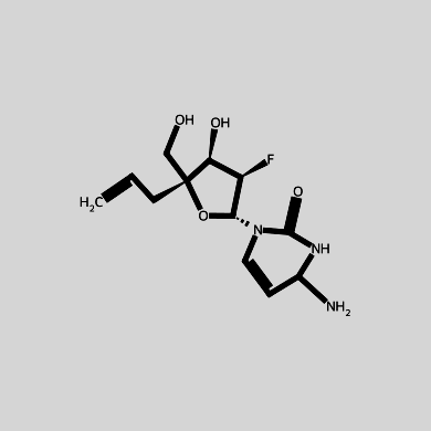 C=CC[C@]1(CO)O[C@@H](N2C=CC(N)NC2=O)[C@H](F)[C@@H]1O